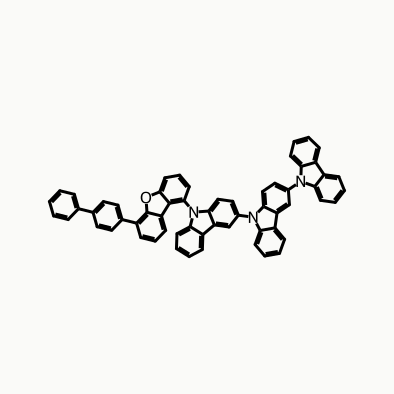 c1ccc(-c2ccc(-c3cccc4c3oc3cccc(-n5c6ccccc6c6cc(-n7c8ccccc8c8cc(-n9c%10ccccc%10c%10ccccc%109)ccc87)ccc65)c34)cc2)cc1